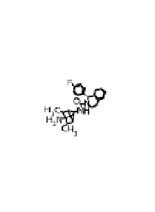 CC1C2C3(NC(=O)N4CCc5ccccc5[C@@H]4c4ccc(F)cc4)C4C(C)C1(N)C243